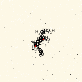 CC(C)[C@@H]1CC[C@]2(NC[C@H](N)CN3CCS(=O)(=O)CC3)CC[C@]3(C)[C@H](CC[C@@H]4[C@@]5(C)CC[C@H](OC(=O)[C@H]6C[C@@H](C(=O)O)C6(C)C)C(C)(C)[C@@H]5CC[C@]43C)[C@@H]12